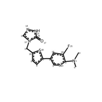 CN(C)c1ncc(-c2ccc(Cn3cn[nH]c3=O)s2)cc1F